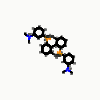 COc1cccc(Pc2cccc(N(C)C)c2)c1-c1c(OC)cccc1Pc1cccc(N(C)C)c1